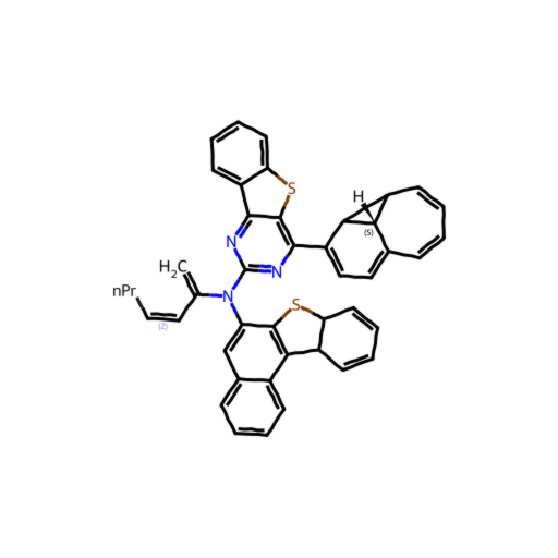 C=C(/C=C\CCC)N(c1nc(C2=CC=C3C=CC=CC4C2[C@@H]34)c2sc3ccccc3c2n1)c1cc2ccccc2c2c1SC1C=CC=CC21